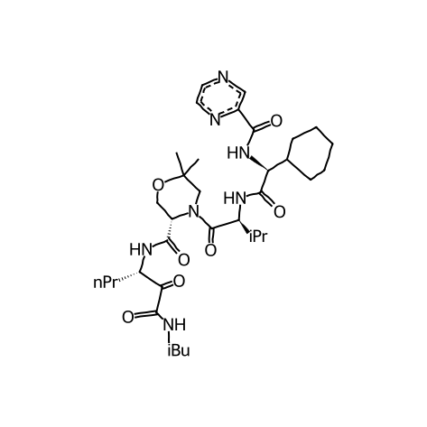 CCC[C@H](NC(=O)[C@@H]1COC(C)(C)CN1C(=O)[C@@H](NC(=O)[C@@H](NC(=O)c1cnccn1)C1CCCCC1)C(C)C)C(=O)C(=O)NC(C)CC